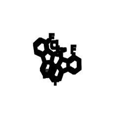 C[Si](Cl)(C1c2cc(F)ccc2-c2cccc(F)c21)C1c2cc(F)ccc2-c2cccc(F)c21